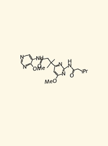 COc1cc(C(C)(C)CC(=O)Nc2cncnc2OC)nc(NC(=O)CC(C)C)n1